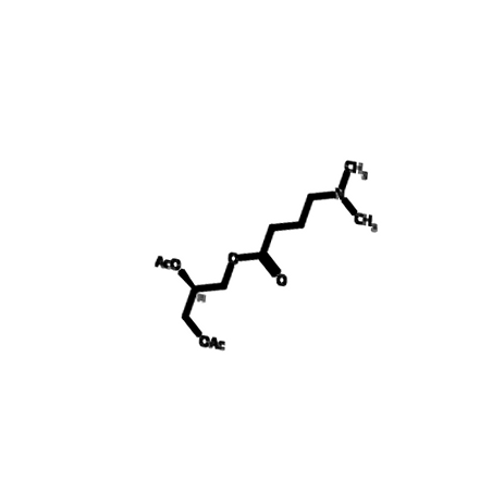 CC(=O)OC[C@H](COC(=O)CCCN(C)C)OC(C)=O